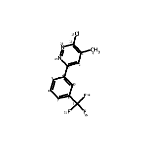 Cc1cc(-c2cccc(C(F)(F)F)c2)nnc1Cl